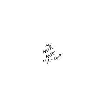 CO.[Ag+].[C-]#N.[C-]#N.[K+]